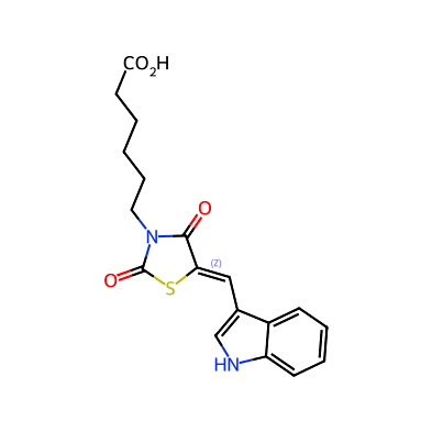 O=C(O)CCCCCN1C(=O)S/C(=C\c2c[nH]c3ccccc23)C1=O